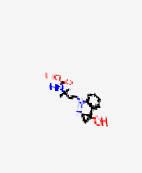 CC(C)(CCNc1ccccc1C1(O)CC1)NC(=O)O